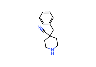 N#CC1(Cc2ccccc2)CCNCC1